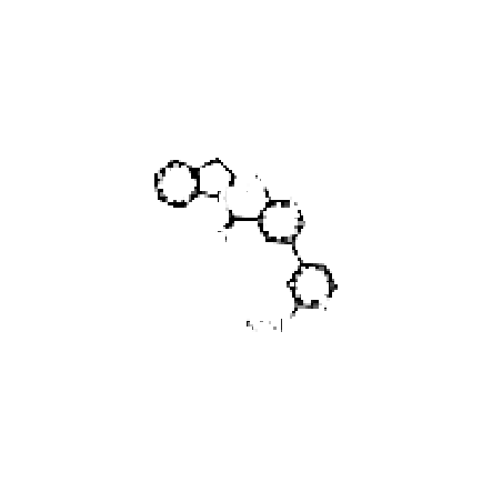 CC(=O)Nc1cc(-c2cnc(N)c(C(=O)N3CCc4ccccc43)c2)ccn1